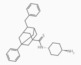 N[C@H]1CC[C@H](NC(=S)C23CC4CC(c5ccccc5)(CC(C2)C4Cc2ccccc2)C3)CC1